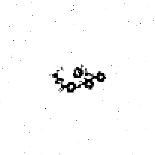 COC(=O)C1CN(C(=O)c2ccc(COc3cccc(C(NC(=O)O[C@H]4CN5CCC4CC5)c4ccccc4)c3)cc2)C1